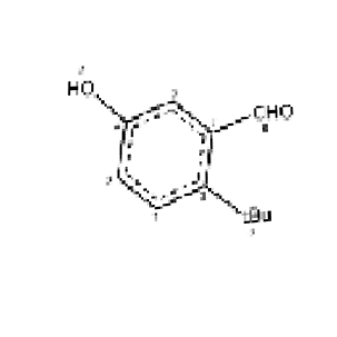 CC(C)(C)c1ccc(O)cc1C=O